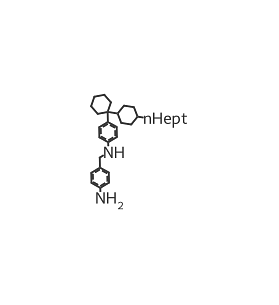 CCCCCCCC1CCC(C2(c3ccc(NCc4ccc(N)cc4)cc3)CCCCC2)CC1